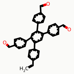 C=Cc1ccc(-c2cc(-c3ccc(C=O)cc3)c(-c3ccc(C=O)cc3)cc2-c2ccc(C=O)cc2)cc1